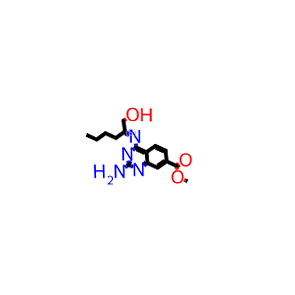 CCCC/C(CO)=N\c1nc(N)nc2cc(C(=O)OC)ccc12